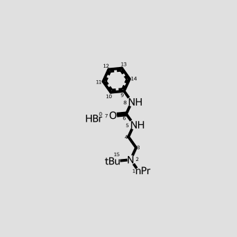 Br.CCCN(CCNC(=O)Nc1ccccc1)C(C)(C)C